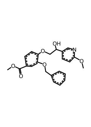 COC(=O)c1ccc(OCC(O)c2ccc(OC)nc2)c(OCc2ccccc2)c1